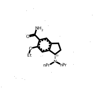 CCCN(CCC)[C@H]1CCc2cc(C(N)=O)c(OCC)cc21